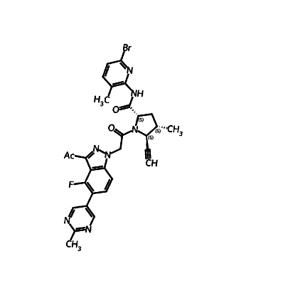 C#C[C@@H]1[C@@H](C)C[C@@H](C(=O)Nc2nc(Br)ccc2C)N1C(=O)Cn1nc(C(C)=O)c2c(F)c(-c3cnc(C)nc3)ccc21